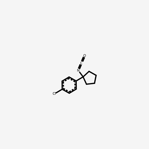 O=C=NC1(c2ccc(Cl)cc2)CCCC1